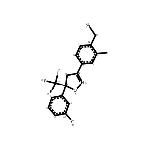 Cc1cc(C2=NO[C@@](c3cccc(Cl)c3)(C(F)(F)F)C2)ccc1CCl